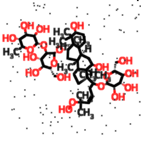 C[C@@H]1O[C@@H](O[C@H]2[C@H](O[C@H]3C[C@]4(C)[C@H](C[C@@H](O)[C@@H]5[C@@H]([C@](C)(C/C=C\C(C)(C)OO)O[C@@H]6O[C@H](CO)[C@@H](O)[C@H](O)[C@H]6O)CC[C@]54C)[C@@]4(C)CC[C@H](O)C(C)(C)[C@H]34)O[C@H](CO)[C@@H](O)[C@@H]2O)[C@H](O)[C@H](O)[C@H]1O